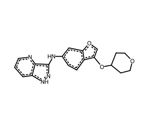 c1cnc2c(Nc3ccc4c(OC5CCOCC5)coc4c3)n[nH]c2c1